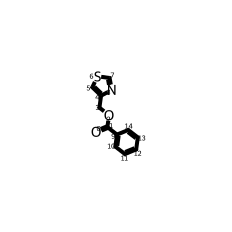 O=C(OCc1cscn1)c1ccccc1